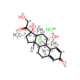 C[C@H]1C[C@H]2[C@@H]3CCC4=CC(=O)C=C[C@]4(C)[C@@]3(Cl)[C@@H](O)C[C@]2(C)[C@@]1(O)C(=O)CO.Cl